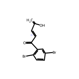 C=C(O)/C=C/C(=O)c1cc(Br)ccc1Br